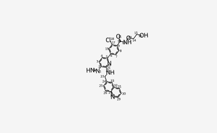 N=Nc1ccc(-c2ccc(C(=O)NOCCO)c(Cl)c2)nc1NCc1ccc2ncccc2c1